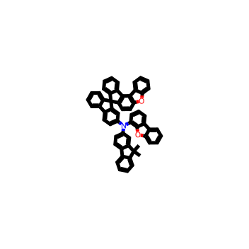 CC1(C)c2ccccc2-c2ccc(N(c3ccc4c(c3)C3(c5ccccc5-4)c4ccccc4-c4c3ccc3oc5ccccc5c43)c3cccc4c3oc3ccccc34)cc21